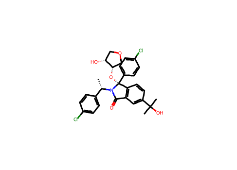 C[C@@H](c1ccc(Cl)cc1)N1C(=O)c2cc(C(C)(C)O)ccc2[C@]1(O[C@H]1COC[C@H]1O)c1ccc(Cl)cc1